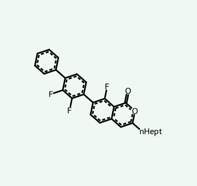 CCCCCCCc1cc2ccc(-c3ccc(-c4ccccc4)c(F)c3F)c(F)c2c(=O)o1